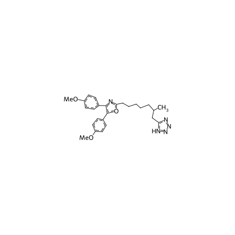 COc1ccc(-c2nc(CCCCCC(C)Cc3nnn[nH]3)oc2-c2ccc(OC)cc2)cc1